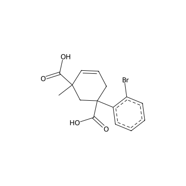 CC1(C(=O)O)C=CCC(C(=O)O)(c2ccccc2Br)C1